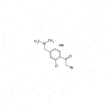 Br.CN(C)Cc1ccc(C(=O)CBr)c(Cl)c1